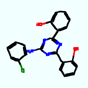 Clc1ccccc1.Nc1nc(-c2ccccc2O)nc(-c2ccccc2O)n1